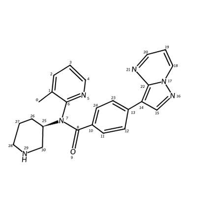 Cc1cccnc1N(C(=O)c1ccc(-c2cnn3cccnc23)cc1)[C@@H]1CCCNC1